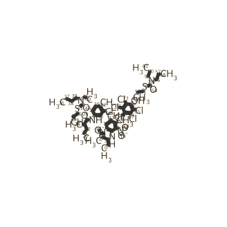 CCC(CC)Nc1c([N+](=O)[O-])cc(C)c(C)c1[N+](=O)[O-].CCCC(C)C(=O)Nc1ccc(C)c(Cl)c1.CCCCN(CC)C(=O)SCCC.CCCSC(=O)N(CCC)CCC.Oc1c(Cl)c(Cl)c(Cl)c(Cl)c1Cl